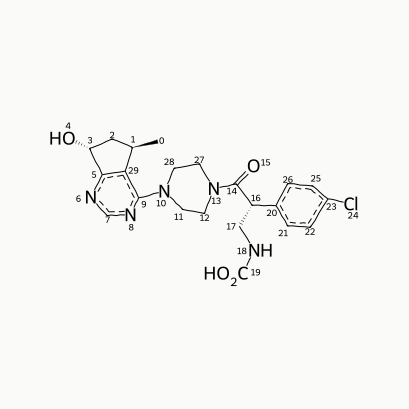 C[C@@H]1C[C@@H](O)c2ncnc(N3CCN(C(=O)[C@@H](CNC(=O)O)c4ccc(Cl)cc4)CC3)c21